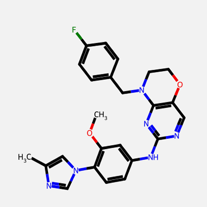 COc1cc(Nc2ncc3c(n2)N(Cc2ccc(F)cc2)CCO3)ccc1-n1cnc(C)c1